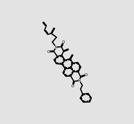 C=C/C=C\C(=C)CCN1C(=O)C(=C)c2c(ccc3c2c(=C)c2ccc4c5c(ccc3c52)C(=O)N(CCc2ccccc2)C4=O)C1=O